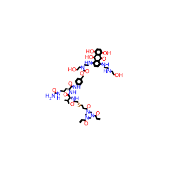 C=CC(=O)N1CN(C(=O)C=C)CN(C(=O)CCSCC(=O)N[C@H](C(=O)N[C@@H](CCCNC(N)=O)C(=O)Nc2ccc(COC(=O)N(CCO)CCNc3ccc(NCCNCCO)c4c3C(O)c3c(O)ccc(O)c3C4=O)cc2)C(C)C)C1